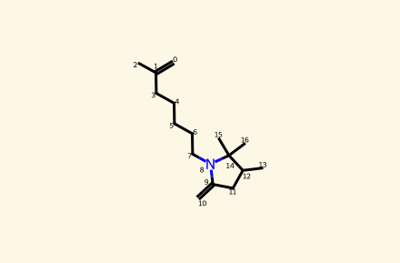 C=C(C)CCCCCN1C(=C)CC(C)C1(C)C